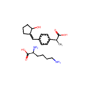 CC(C(=O)O)c1ccc(C=C2CCCC2O)cc1.NCCCCC(N)C(=O)O